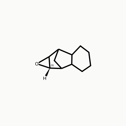 C1CCC2C(C1)C1CC2[C@@H]2OC12